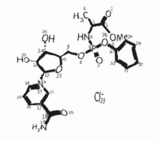 COC(=O)C(C)NP(=O)(OC[C@H]1O[C@@H]([n+]2cccc(C(N)=O)c2)[C@H](O)[C@@H]1O)Oc1ccccc1.[Cl-]